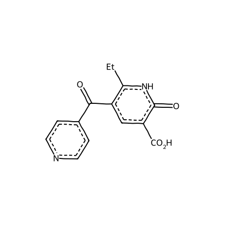 CCc1[nH]c(=O)c(C(=O)O)cc1C(=O)c1ccncc1